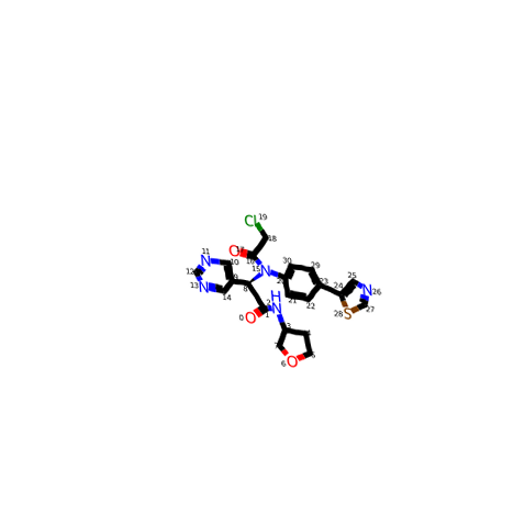 O=C(NC1CCOC1)[C@@H](c1cncnc1)N(C(=O)CCl)c1ccc(-c2cncs2)cc1